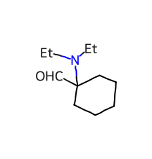 CCN(CC)C1(C=O)CCCCC1